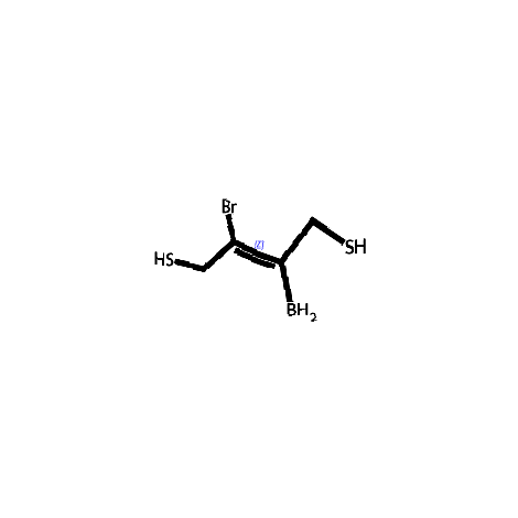 B/C(CS)=C(/Br)CS